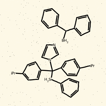 BC(c1ccccc1)c1ccccc1.CC(C)c1ccc(C([SiH2]c2ccccc2)(c2ccc(C(C)C)cc2)n2ccnc2)cc1